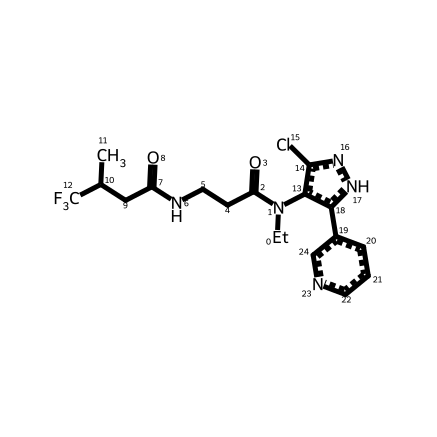 CCN(C(=O)CCNC(=O)CC(C)C(F)(F)F)c1c(Cl)n[nH]c1-c1cccnc1